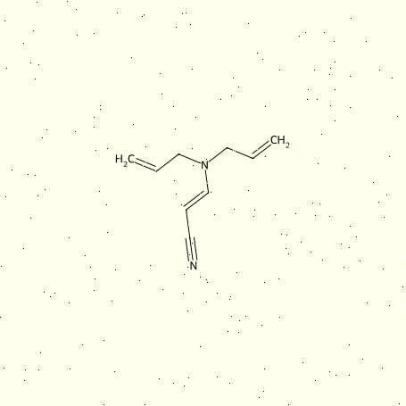 C=CCN(C=CC#N)CC=C